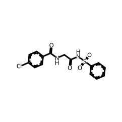 O=C(CNC(=O)c1ccc(Cl)cc1)NS(=O)(=O)c1ccccc1